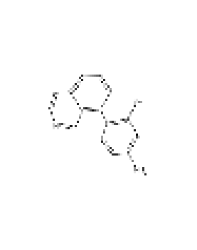 CCc1nc(N)ccc1-c1cccc2ccncc12